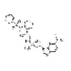 CC(C)(CCn1cnc2ccc(C(=O)O)nc21)NCC(O)c1ccccc1NS(=O)(=O)c1ccccc1